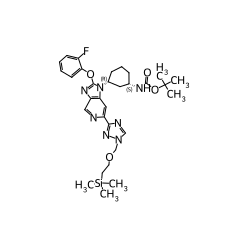 CC(C)(C)OC(=O)N[C@H]1CCC[C@@H](n2c(Oc3ccccc3F)nc3cnc(-c4ncn(COCC[Si](C)(C)C)n4)cc32)C1